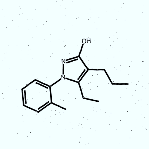 CCCc1c(O)nn(-c2ccccc2C)c1CC